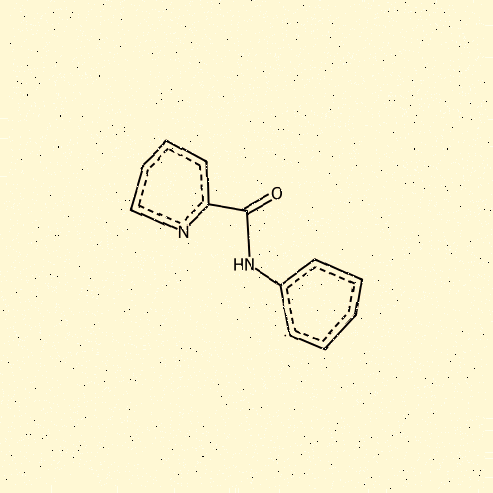 O=C(Nc1[c]cccc1)c1ccccn1